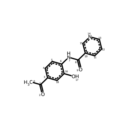 CC(=O)c1ccc(NC(=O)c2cccnc2)c(O)c1